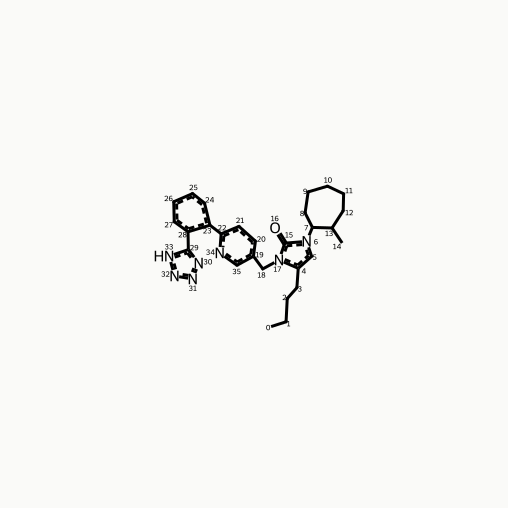 CCCCc1cn(C2CCCCCC2C)c(=O)n1Cc1ccc(-c2ccccc2-c2nnn[nH]2)nc1